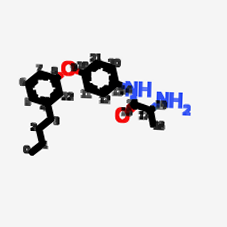 CCCCc1cccc(Oc2ccc(NC(=O)C(C)N)cc2)c1